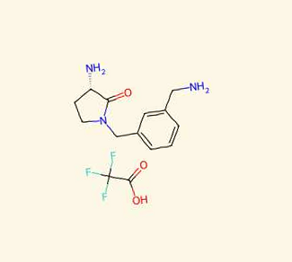 NCc1cccc(CN2CC[C@H](N)C2=O)c1.O=C(O)C(F)(F)F